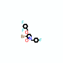 O=c1c(Br)c(OCc2ccc(F)cc2F)ccn1Cc1ccc(F)cc1